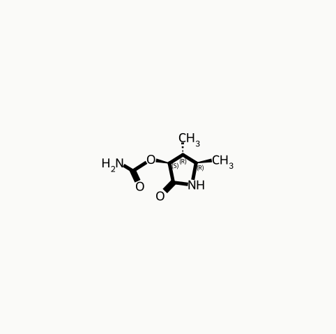 C[C@H]1[C@H](OC(N)=O)C(=O)N[C@@H]1C